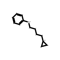 [c]1cccc(OCCCCC2CC2)c1